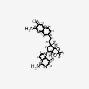 CC1(C)O[C@H]2[C@H](n3ccc4c(N)ncc(F)c43)C[C@](C)(CCc3ccc4cc(Cl)c(N)nc4c3)[C@H]2O1